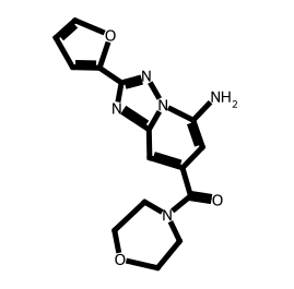 Nc1cc(C(=O)N2CCOCC2)cc2nc(-c3ccco3)nn12